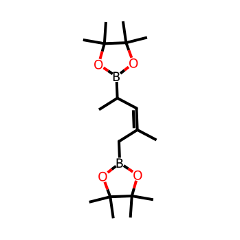 CC(=CC(C)B1OC(C)(C)C(C)(C)O1)CB1OC(C)(C)C(C)(C)O1